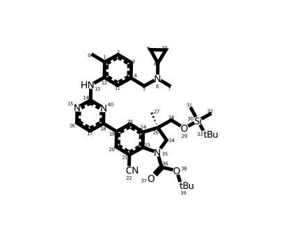 Cc1ccc(CN(C)C2CC2)cc1Nc1nccc(-c2cc(C#N)c3c(c2)[C@@](C)(CO[Si](C)(C)C(C)(C)C)CN3C(=O)OC(C)(C)C)n1